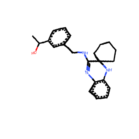 CC(O)c1cccc(CNC2=Nc3ccccc3NC23CCCCC3)c1